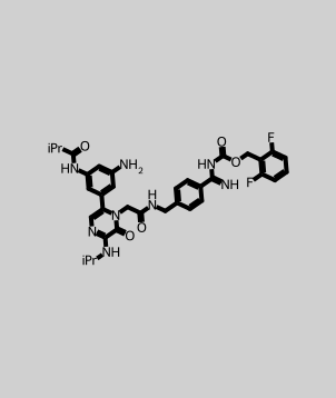 CC(C)Nc1ncc(-c2cc(N)cc(NC(=O)C(C)C)c2)n(CC(=O)NCc2ccc(C(=N)NC(=O)OCc3c(F)cccc3F)cc2)c1=O